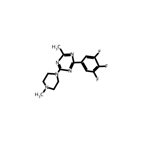 Cc1nc(-c2cc(F)c(F)c(F)c2)nc(N2CCN(C)CC2)n1